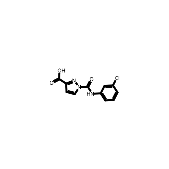 O=C(O)c1ccn(C(=O)Nc2cccc(Cl)c2)n1